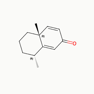 C[C@@H]1CCC[C@]2(C)C=CC(=O)C=C12